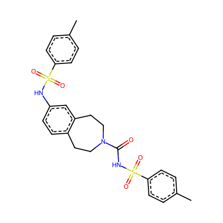 Cc1ccc(S(=O)(=O)NC(=O)N2CCc3ccc(NS(=O)(=O)c4ccc(C)cc4)cc3CC2)cc1